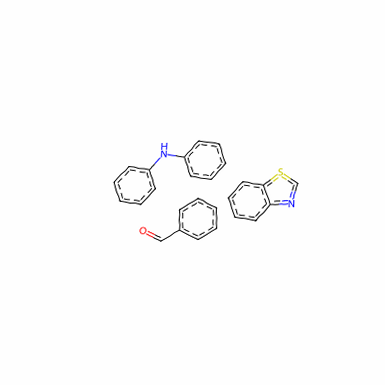 O=Cc1ccccc1.c1ccc(Nc2ccccc2)cc1.c1ccc2scnc2c1